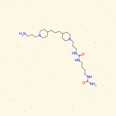 NCCCN1CCC(CCCC2CCN(CCCNC(=O)NCCCCNC(N)=O)CC2)CC1